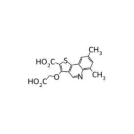 Cc1cc(C)c2ncc3c(OCC(=O)O)c(C(=O)O)sc3c2c1